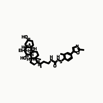 CC[C@H]1[C@@H](O)[C@@H]2[C@H](CC[C@]3(C)[C@@H]([C@H](C)CCNC(=O)NSc4ccc(-c5cnc(C)o5)cc4C)CC[C@@H]23)[C@@]2(C)CC[C@@H](O)C[C@@H]12